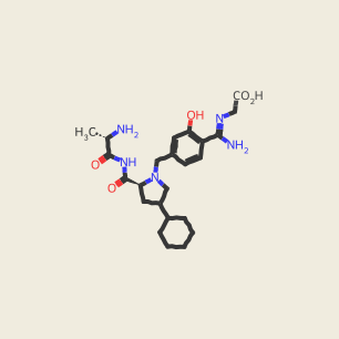 C[C@H](N)C(=O)NC(=O)[C@@H]1CC(C2CCCCC2)CN1Cc1ccc(C(N)=NCC(=O)O)c(O)c1